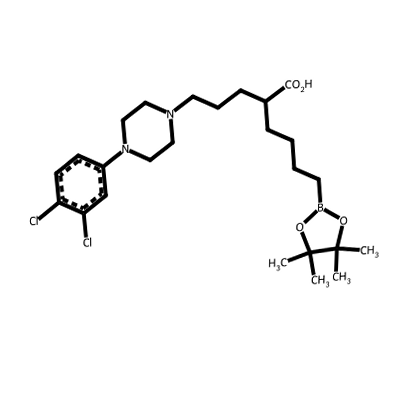 CC1(C)OB(CCCCC(CCCN2CCN(c3ccc(Cl)c(Cl)c3)CC2)C(=O)O)OC1(C)C